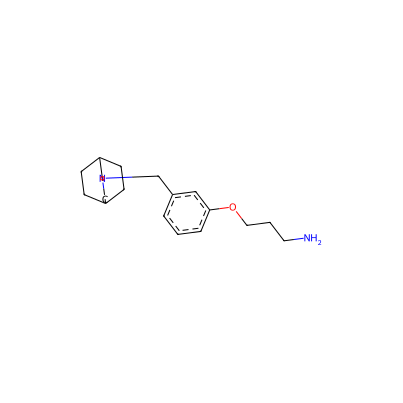 NCCCOc1cccc(CN2CC3CCC(CC3)C2)c1